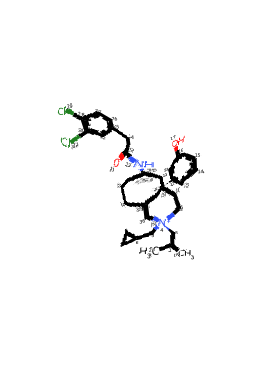 CC(C)C[N@+]1(CC2CC2)CC[C@]2(c3cccc(O)c3)C[C@@H](NC(=O)Cc3ccc(Cl)c(Cl)c3)CCC2C1